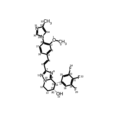 COc1cc(C=Cc2nc3n(n2)CC[C@@H](O)[C@H]3c2cc(F)c(F)c(F)c2)ccc1-n1cnc(C)c1